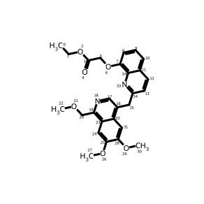 CCOC(=O)COc1cccc2ccc(Cc3cnc(COC)c4cc(OC)c(OC)cc34)nc12